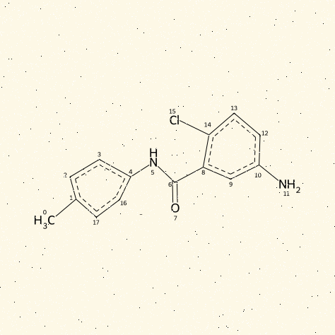 Cc1ccc(NC(=O)c2cc(N)ccc2Cl)cc1